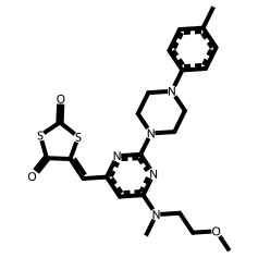 COCCN(C)c1cc(/C=C2\SC(=O)SC2=O)nc(N2CCN(c3ccc(C)cc3)CC2)n1